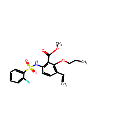 C=Cc1ccc(NS(=O)(=O)c2ccccc2F)c(C(=O)OC)c1OCCC